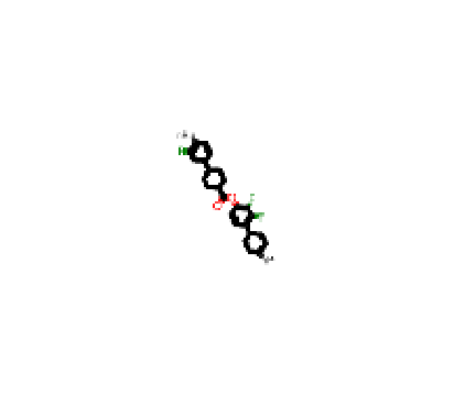 CCCCc1ccc(C2CCC(C(=O)Oc3ccc(C4CCC(CCC)CC4)c(F)c3F)CC2)cc1F